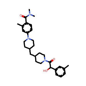 Cc1cccc(C(O)C(=O)N2CCC(CC3CCN(c4ccc(C(=O)N(C)C)c(C)c4)CC3)CC2)c1